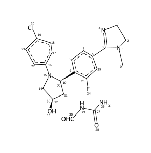 CN1CCN=C1c1ccc([C@H]2C[C@@H](O)CN2c2ccc(Cl)cc2)c(F)c1.NC(=O)NC=O